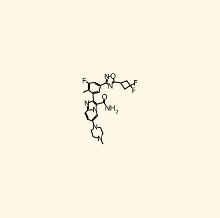 Cc1c(F)cc(-c2noc(C3CC(F)(F)C3)n2)cc1-c1nc2ccc(N3CCN(C)CC3)cn2c1C(N)=O